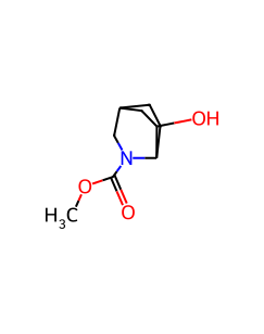 COC(=O)N1CC2CCC1C(O)C2